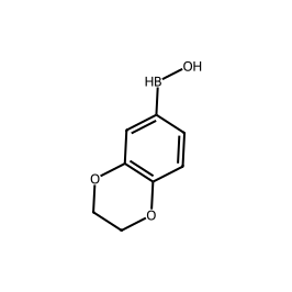 OBc1ccc2c(c1)OCCO2